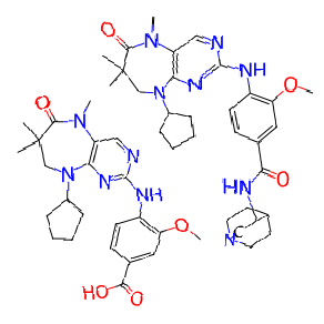 COc1cc(C(=O)NC2CN3CCC2CC3)ccc1Nc1ncc2c(n1)N(C1CCCC1)CC(C)(C)C(=O)N2C.COc1cc(C(=O)O)ccc1Nc1ncc2c(n1)N(C1CCCC1)CC(C)(C)C(=O)N2C